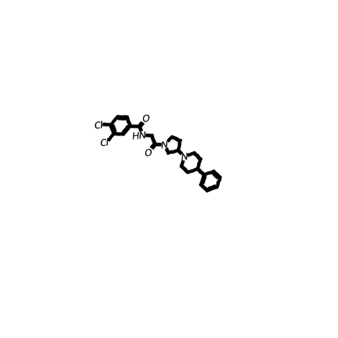 O=C(NCC(=O)N1CCC(N2CCC(c3ccccc3)CC2)C1)c1ccc(Cl)c(Cl)c1